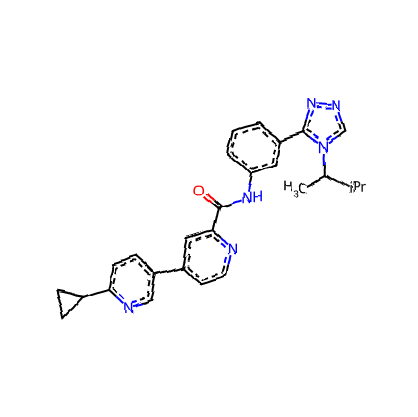 CC(C)C(C)n1cnnc1-c1cccc(NC(=O)c2cc(-c3ccc(C4CC4)nc3)ccn2)c1